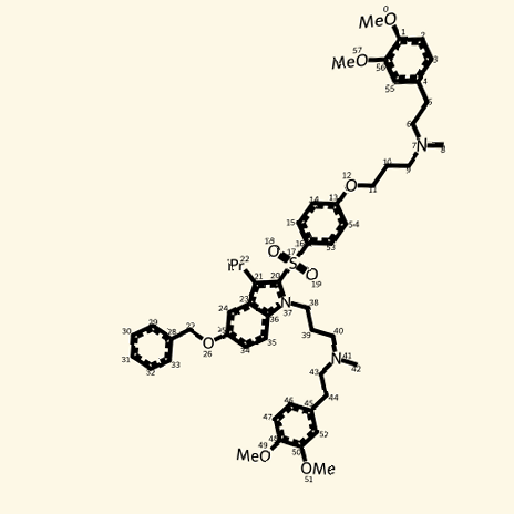 COc1ccc(CCN(C)CCCOc2ccc(S(=O)(=O)c3c(C(C)C)c4cc(OCc5ccccc5)ccc4n3CCCN(C)CCc3ccc(OC)c(OC)c3)cc2)cc1OC